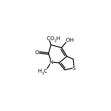 CN1C(=O)C(C(=O)O)C(O)=C2CSC=C21